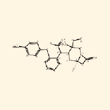 COc1ccc(Cc2ccccc2N(C(C)=S)C2S[C@@H]3CC(=O)N3CC2(CCl)C(=O)O)cc1